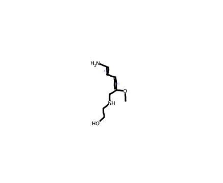 CO/C(=C/C=C/N)CNCCO